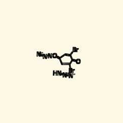 O=C1C=C(Br)C(=O)C(Br)=C1.[N-]=[N+]=N.[N-]=[N+]=[N-]